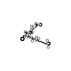 O=C(CCCCCN1C(=O)C=CC1=O)NCC(=O)OCC(=O)N[C@@H](Cc1ccccc1)C(=O)NCC(=O)NCOCC(=O)N1CCCC1